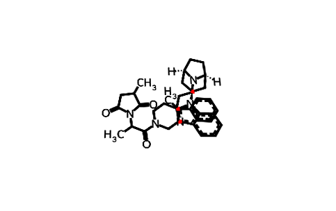 Cc1nc2ccccc2n1[C@H]1C[C@H]2CC[C@@H](C1)N2CCC1(c2ccccc2)CCN(C(=O)C(C)N2C(=O)CC(C)C2=O)CC1